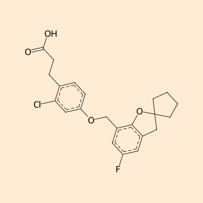 O=C(O)CCc1ccc(OCc2cc(F)cc3c2OC2(CCCC2)C3)cc1Cl